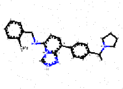 COc1ccccc1CNc1ccc(-c2ccc(C(C)N3CCCC3)cc2)c2nncn12